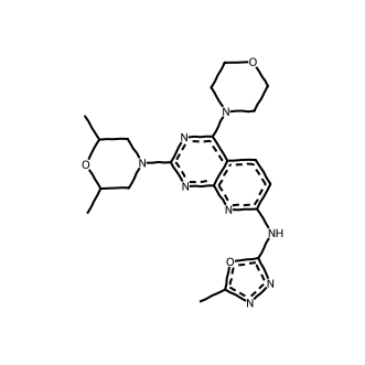 Cc1nnc(Nc2ccc3c(N4CCOCC4)nc(N4CC(C)OC(C)C4)nc3n2)o1